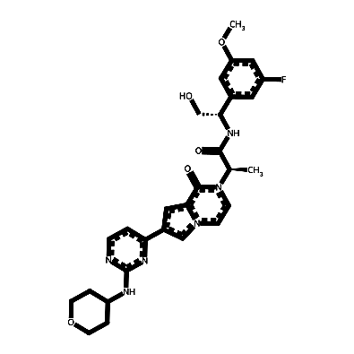 COc1cc(F)cc([C@@H](CO)NC(=O)[C@@H](C)n2ccn3cc(-c4ccnc(NC5CCOCC5)n4)cc3c2=O)c1